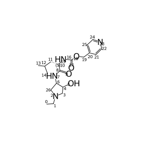 CCN1CC(O)C(NC(=O)[C@H](CC(C)C)NC(=O)OCc2ccncc2)C1